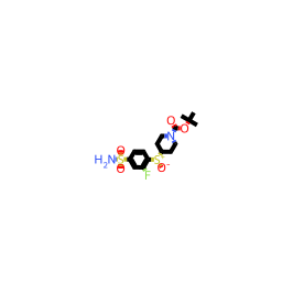 CC(C)(C)OC(=O)N1CCC([S+]([O-])c2ccc(S(N)(=O)=O)cc2F)CC1